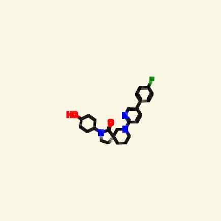 O=C1N(C2CCC(O)CC2)CC[C@]12CCCN(c1ccc(-c3ccc(F)cc3)cn1)C2